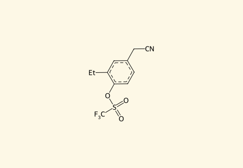 CCc1cc(CC#N)ccc1OS(=O)(=O)C(F)(F)F